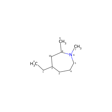 CCC1CCCN(C)C(C)C1